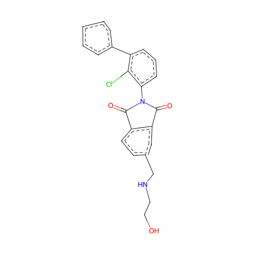 O=C1c2ccc(CNCCO)cc2C(=O)N1c1cccc(-c2ccccc2)c1Cl